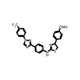 COc1ccc(C2CSC(Nc3ccc(-c4ncn(-c5ccc(C(F)(F)F)cc5)n4)cc3)=N2)cc1